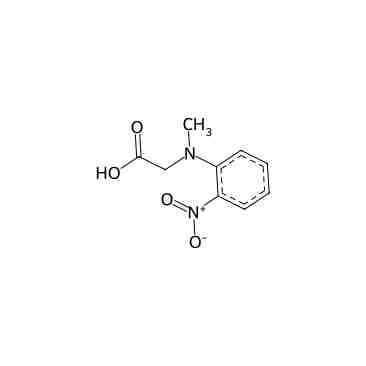 CN(CC(=O)O)c1ccccc1[N+](=O)[O-]